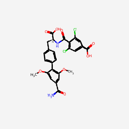 COc1cc(C(N)=O)cc(OC)c1-c1ccc(C[C@H](NC(=O)c2c(Cl)cc(C(=O)O)cc2Cl)C(=O)O)cc1